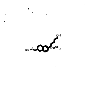 CCCCSCC1CCc2cc([C@@H](CN)CCCCO)ccc2C1